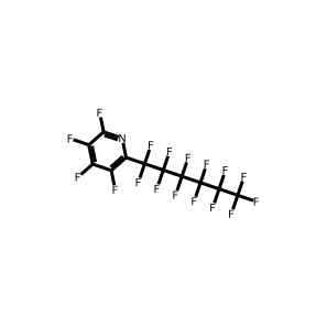 Fc1nc(C(F)(F)C(F)(F)C(F)(F)C(F)(F)C(F)(F)C(F)(F)F)c(F)c(F)c1F